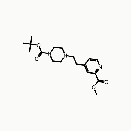 COC(=O)c1cc(CCN2CCN(C(=O)OC(C)(C)C)CC2)ccn1